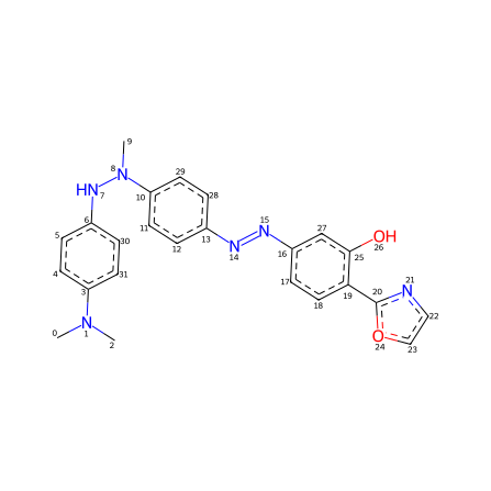 CN(C)c1ccc(NN(C)c2ccc(/N=N/c3ccc(-c4ncco4)c(O)c3)cc2)cc1